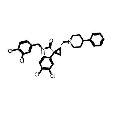 O=C(NCc1ccc(Cl)c(Cl)c1)[C@@]1(c2ccc(Cl)c(Cl)c2)C[C@H]1CN1CCC(c2ccccc2)CC1